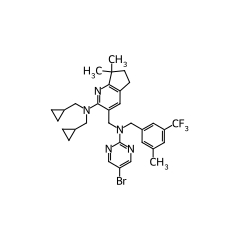 Cc1cc(CN(Cc2cc3c(nc2N(CC2CC2)CC2CC2)C(C)(C)CC3)c2ncc(Br)cn2)cc(C(F)(F)F)c1